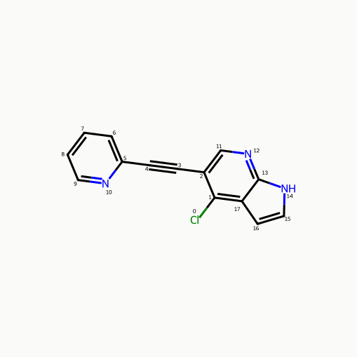 Clc1c(C#Cc2ccccn2)cnc2[nH]ccc12